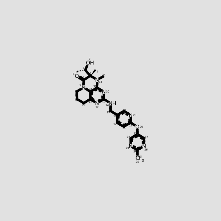 C[C@H](O)[C@@]1(C)C(=O)N2CCCc3nc(NCc4ccc(Oc5cnc(C(F)(F)F)nc5)nc4)nc(c32)N1C